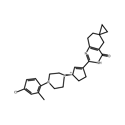 Cc1cc(Cl)ccc1N1CCN([C@H]2C=C(c3nc4c(c(=O)[nH]3)CC3(CC4)CC3)CC2)CC1